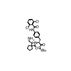 CC(C)(C)OC(=O)[C@H](Cc1ccc(NC(=O)c2c(Cl)cccc2Cl)cc1)NC(=O)C1(CCN)CCCC1